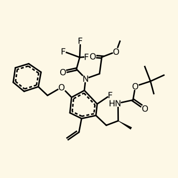 C=Cc1cc(OCc2ccccc2)c(N(CC(=O)OC)C(=O)C(F)(F)F)c(F)c1C[C@H](C)NC(=O)OC(C)(C)C